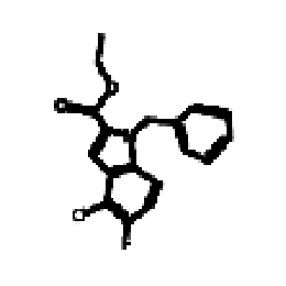 CCOC(=O)c1cc2c(Cl)c(F)ccc2n1Cc1ccccc1